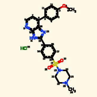 COc1ccc(-c2ccnc3[nH]c(-c4ccc(S(=O)(=O)N5CCN(C)CC5)cc4)nc23)cc1.Cl